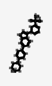 NS(=O)(=O)c1cccc(-c2coc3cc(-c4ccc(N5CCNCC5)cc4)cnc23)c1